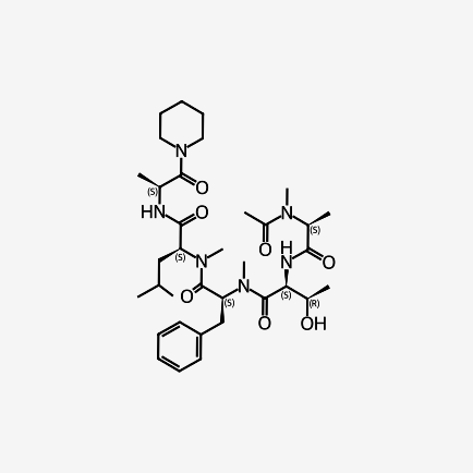 CC(=O)N(C)[C@@H](C)C(=O)N[C@H](C(=O)N(C)[C@@H](Cc1ccccc1)C(=O)N(C)[C@@H](CC(C)C)C(=O)N[C@@H](C)C(=O)N1CCCCC1)[C@@H](C)O